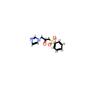 O=C(Cn1ccnc1)CS(=O)(=O)c1ccccc1